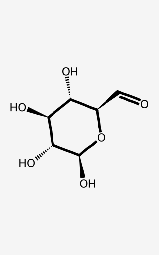 O=C[C@H]1O[C@@H](O)[C@H](O)[C@@H](O)[C@@H]1O